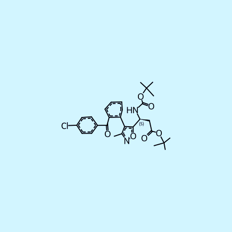 Cc1noc([C@H](CC(=O)OC(C)(C)C)NC(=O)OC(C)(C)C)c1-c1ccccc1C(=O)c1ccc(Cl)cc1